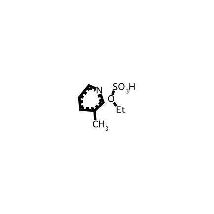 CCOS(=O)(=O)O.Cc1cccnc1